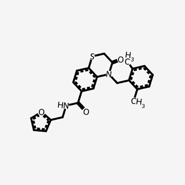 Cc1cccc(C)c1CN1C(=O)CSc2ccc(C(=O)NCc3ccco3)cc21